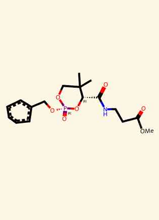 COC(=O)CCNC(=O)[C@@H]1O[P@](=O)(OCc2ccccc2)OCC1(C)C